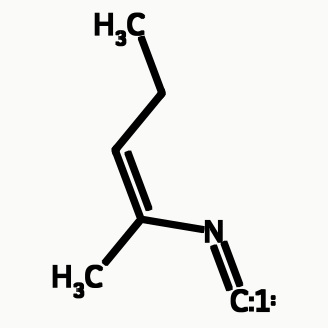 CCC=C(C)N=[C:1]